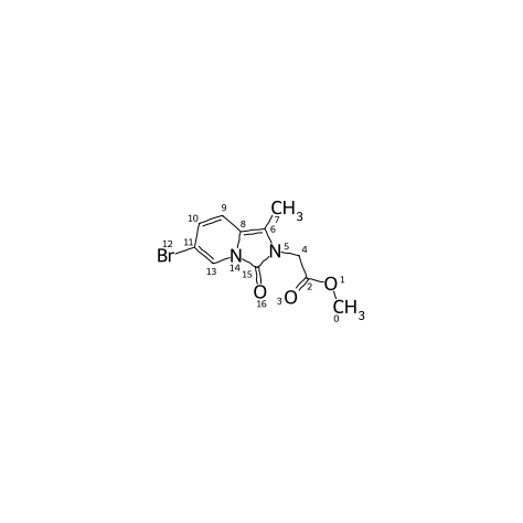 COC(=O)Cn1c(C)c2ccc(Br)cn2c1=O